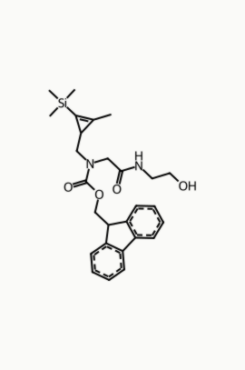 CC1=C([Si](C)(C)C)C1CN(CC(=O)NCCO)C(=O)OCC1c2ccccc2-c2ccccc21